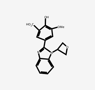 COc1cc(-c2nc3ccccc3n2C2COC2)cc(C(=O)O)c1O